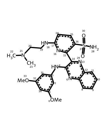 COc1cc(Nc2nc3ccccc3nc2-c2nc(NCCN(C)C)ccc2S(N)(=O)=O)cc(OC)c1